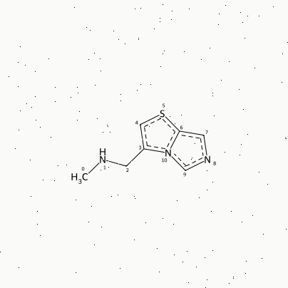 CNCc1csc2cncn12